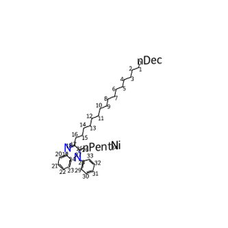 CCCCCCCCCCCCCCCCCCCCCCCCCCC(=Nc1ccccc1)C(CCCCC)=Nc1ccccc1.[Ni]